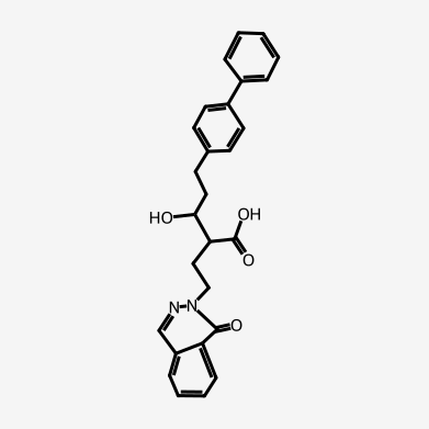 O=C(O)C(CCn1ncc2ccccc2c1=O)C(O)CCc1ccc(-c2ccccc2)cc1